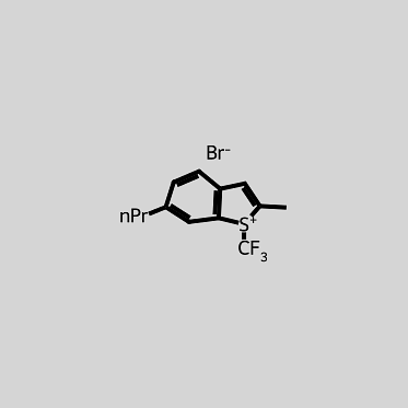 CCCc1ccc2cc(C)[s+](C(F)(F)F)c2c1.[Br-]